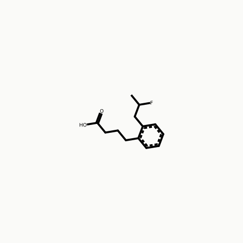 CC(F)Cc1ccccc1CCCC(=O)O